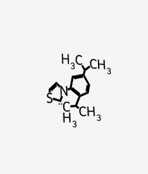 CC(C)c1ccc(C(C)C)c(N2[C]SC=C2)c1